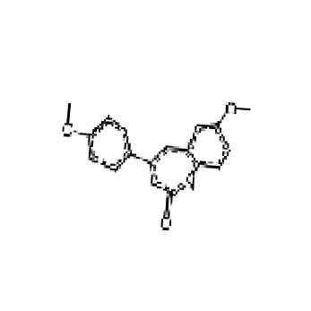 COc1ccc(-c2cc(=O)nc3ccc(OC)cc3c2)cc1